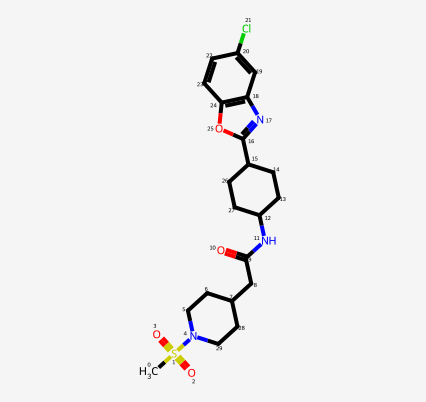 CS(=O)(=O)N1CCC(CC(=O)NC2CCC(c3nc4cc(Cl)ccc4o3)CC2)CC1